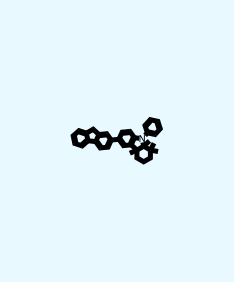 CC1(C)CCCC2(C)c3cc(-c4ccc5c(c4)Cc4ccccc4-5)ccc3N(c3ccccc3)C12C